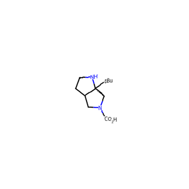 CC(C)(C)C12CN(C(=O)O)CC1CCN2